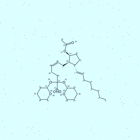 CCCCCC/C=C/[C@H]1CC[C@H](OC(C)=O)[C@@H]1C/C=C\CCC(OC1CCCCO1)(OC1CCCCO1)C(=O)O